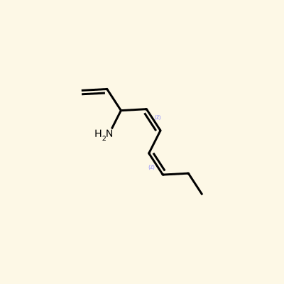 C=CC(N)/C=C\C=C/CC